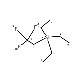 CC[Si](CC)(CC)CC(F)(F)F